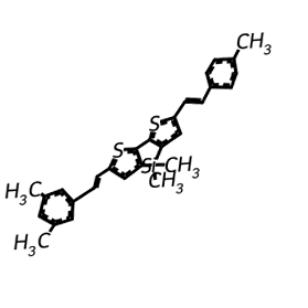 Cc1ccc(/C=C/c2cc3c(s2)-c2sc(/C=C/c4cc(C)cc(C)c4)cc2[Si]3(C)C)cc1